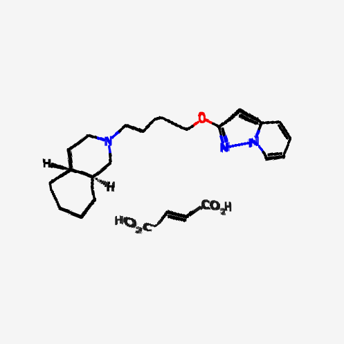 O=C(O)C=CC(=O)O.c1ccn2nc(OCCCCN3CC[C@H]4CCCC[C@@H]4C3)cc2c1